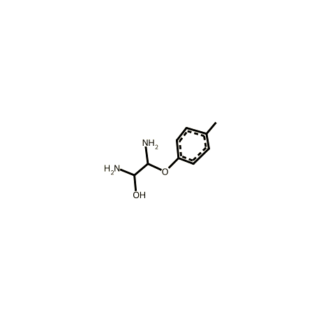 Cc1ccc(OC(N)C(N)O)cc1